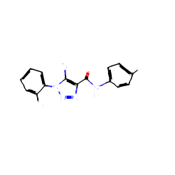 Cc1ccc(NC(=O)c2nnn(-c3ccccc3C)c2N)cc1